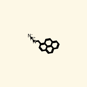 [N-]=[N+]=NCc1ccc2ccc3cccc4ccc1c2c34